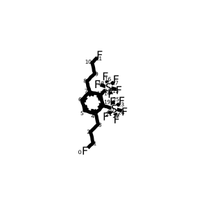 FCCCc1ccc(CCCF)c(S(F)(F)(F)(F)F)c1S(F)(F)(F)(F)F